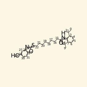 CC(C)c1cccc(C(C)C)c1NC(=O)CCCCCCCCSc1nc2cc(O)ccc2o1